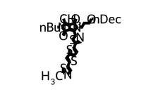 CCCCCCCCCCOCCCN1C(=O)C2=C(C)N(CCCC)C(=O)C2=C1c1ncc(-c2cc3sc(-c4cnc(C)s4)cc3s2)s1